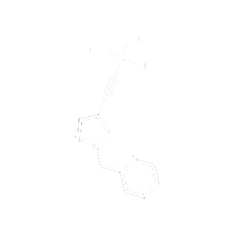 C[Si](C)(C)C#Cc1cnn(Cc2ccccn2)c1